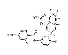 CN=S1(=O)CC(C)(c2nc(NC(=O)c3ncc(C#N)cc3C)ccc2F)N=C(OC(N)=O)N1CC(F)(F)F